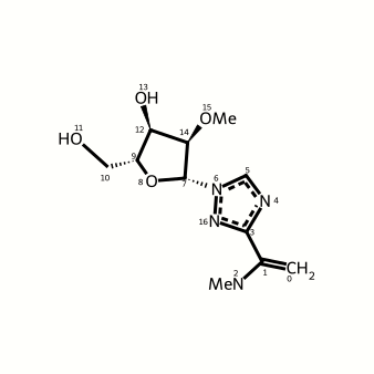 C=C(NC)c1ncn([C@@H]2O[C@H](CO)[C@@H](O)[C@H]2OC)n1